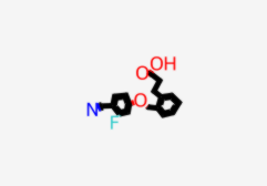 N#Cc1ccc(OCc2ccccc2CCC(=O)O)cc1F